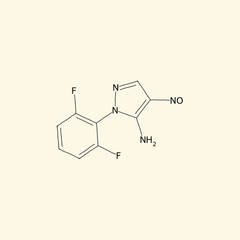 Nc1c(N=O)cnn1-c1c(F)cccc1F